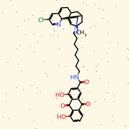 CC1C=C2C3CC=C4C=C(Cl)C=NC42C=C(NCCCCCCCCNC(=O)c2cc(O)c4c(c2)C(=O)c2cccc(O)c2C4=O)C(C1)C3